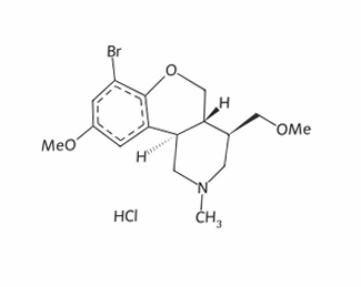 COC[C@H]1CN(C)C[C@H]2c3cc(OC)cc(Br)c3OC[C@H]12.Cl